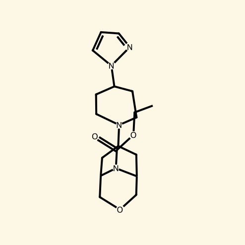 CCOC(=O)N1C2COCC1CC(N1CCC(n3cccn3)CC1)C2